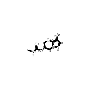 CNC(=O)O[C@H]1COc2c(Br)cnn2C1